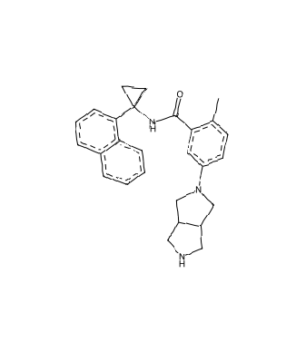 Cc1ccc(N2CC3CNCC3C2)cc1C(=O)NC1(c2cccc3ccccc23)CC1